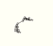 CCCNC(=O)NCC1=COc2ccc(OCCCCCCOc3ccc4c(c3)OC(CNC(=O)NCCC)=CO4)cc2O1